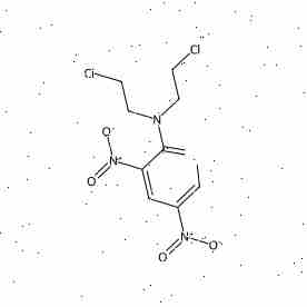 C=C(/C(=C\C(=C/C)[N+](=O)[O-])[N+](=O)[O-])N(CCCl)CCCl